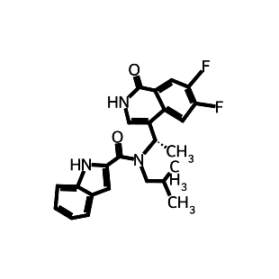 CC(C)CN(C(=O)c1cc2ccccc2[nH]1)[C@@H](C)c1c[nH]c(=O)c2cc(F)c(F)cc12